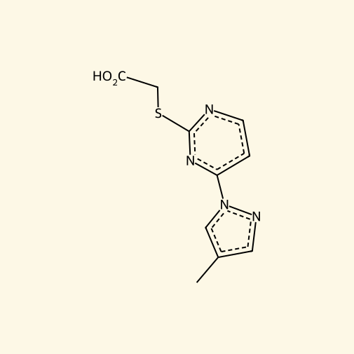 Cc1cnn(-c2ccnc(SCC(=O)O)n2)c1